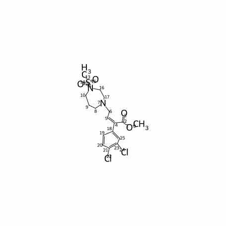 COC(=O)/C(=C\CN1CCCN(S(C)(=O)=O)CC1)c1ccc(Cl)c(Cl)c1